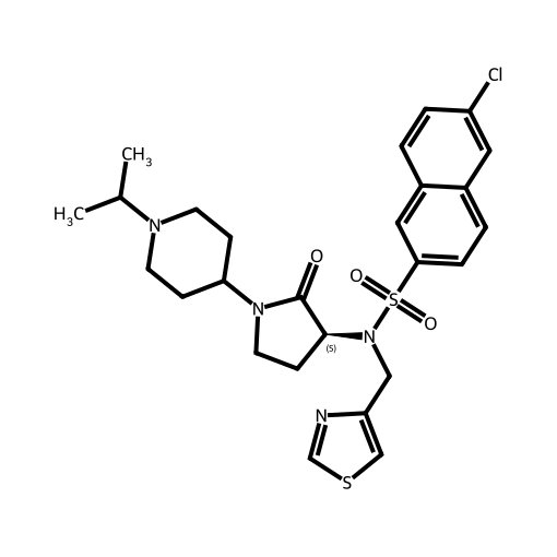 CC(C)N1CCC(N2CC[C@H](N(Cc3cscn3)S(=O)(=O)c3ccc4cc(Cl)ccc4c3)C2=O)CC1